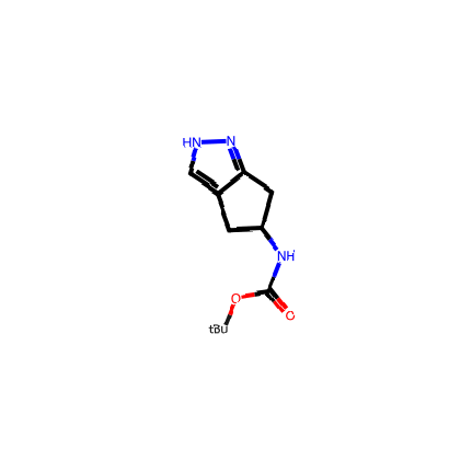 CC(C)(C)OC(=O)NC1Cc2c[nH]nc2C1